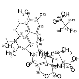 CCN(CC)[C@H]1CCc2c(C)c(F)cc3nc4c(c1c23)Cn1c-4cc2c(c1=O)COC(=O)[C@@]2(CC)N[C@H](C(=O)O)C(C)C.O=C(O)C(F)(F)F